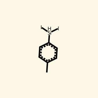 Cc1ccc([SiH](I)I)cc1